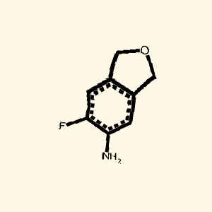 Nc1cc2c(cc1F)COC2